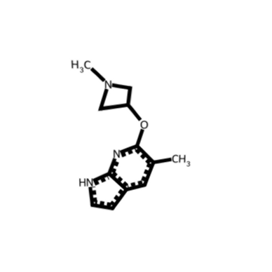 Cc1cc2cc[nH]c2nc1OC1CN(C)C1